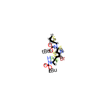 CC(NC(=O)OC(C)(C)C)C(F)(F)c1sc2c(N(Cc3cccs3)C(=O)OC(C)(C)C)snc2c1Br